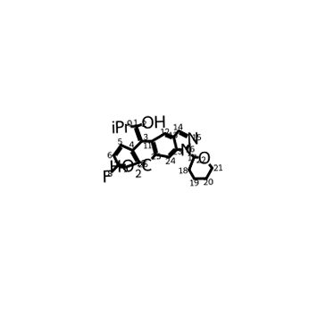 CC(C)/C(O)=C(\c1ccc(F)cc1)c1cc2cnn(C3CCCCO3)c2cc1C(=O)O